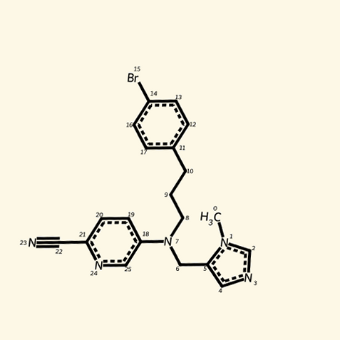 Cn1cncc1CN(CCCc1ccc(Br)cc1)c1ccc(C#N)nc1